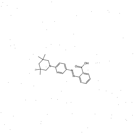 CC1(C)CN(c2ccc(/N=N/c3ccccc3C(=O)O)cc2)CC(C)(C)C1